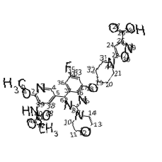 COc1ncc(-c2nc(N3CCOCC3)nc3c(OC4CCN(c5cc(C(=O)O)no5)CC4)cc(F)cc23)cc1NS(C)(=O)=O